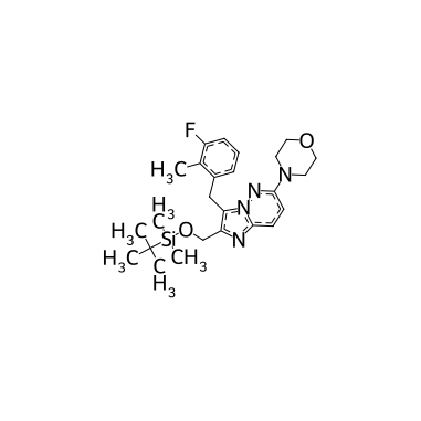 Cc1c(F)cccc1Cc1c(CO[Si](C)(C)C(C)(C)C)nc2ccc(N3CCOCC3)nn12